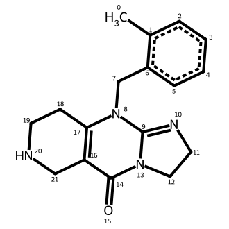 Cc1ccccc1CN1C2=NCCN2C(=O)C2=C1CCNC2